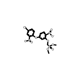 COP(=O)(COc1cc(Oc2ccc(Cl)cc2[N+](=O)[O-])ccc1[N+](=O)[O-])OC